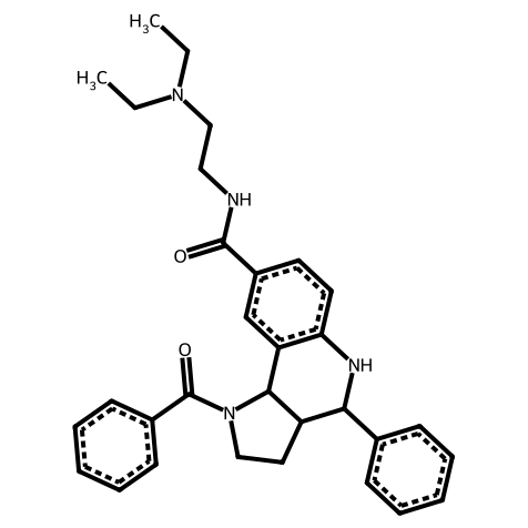 CCN(CC)CCNC(=O)c1ccc2c(c1)C1C(CCN1C(=O)c1ccccc1)C(c1ccccc1)N2